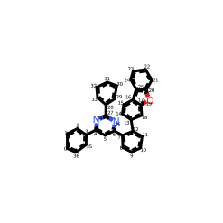 c1ccc(-c2cc(-c3ccccc3-c3ccc4c(c3)oc3ccccc34)nc(-c3ccccc3)n2)cc1